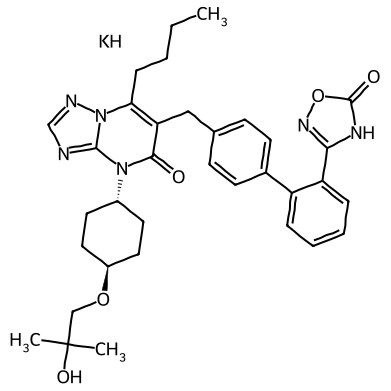 CCCCc1c(Cc2ccc(-c3ccccc3-c3noc(=O)[nH]3)cc2)c(=O)n([C@H]2CC[C@H](OCC(C)(C)O)CC2)c2ncnn12.[KH]